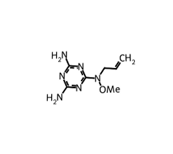 C=CCN(OC)c1nc(N)nc(N)n1